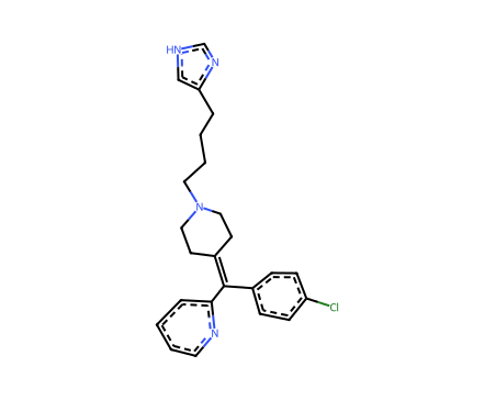 Clc1ccc(C(=C2CCN(CCCCc3c[nH]cn3)CC2)c2ccccn2)cc1